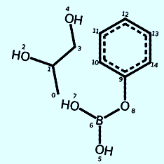 CC(O)CO.OB(O)Oc1ccccc1